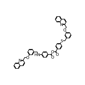 O=C(OC(=O)c1ccc(SCc2cccc(OCc3ccc4ccccc4n3)c2)cc1)c1ccc(NCc2cccc(OCc3ccc4ccccc4n3)c2)cc1